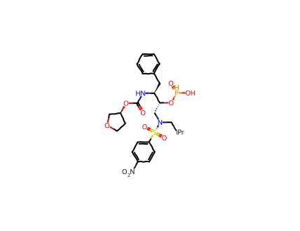 CC(C)CN(C[C@@H](O[PH](=O)O)[C@H](Cc1ccccc1)NC(=O)O[C@H]1CCOC1)S(=O)(=O)c1ccc([N+](=O)[O-])cc1